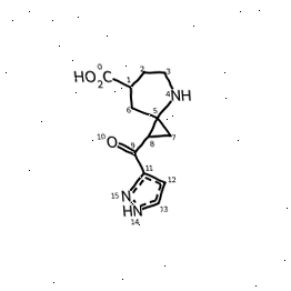 O=C(O)C1CCNC2(C1)CC2C(=O)c1cc[nH]n1